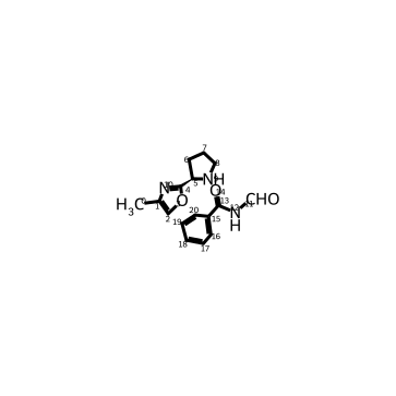 Cc1coc([C@H]2CCCN2)n1.O=CNC(=O)c1ccccc1